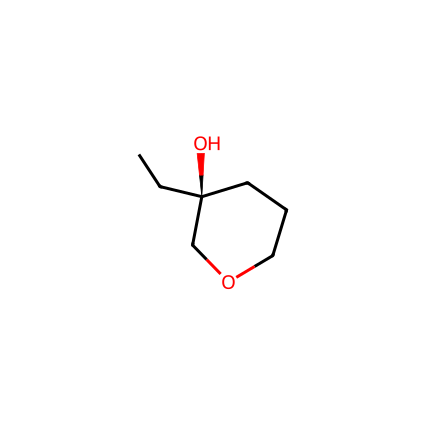 CC[C@]1(O)CCCOC1